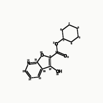 O=C(OC1CCCCC1)c1oc2ncccc2c1O